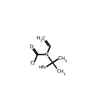 C=CN(C(=O)Cl)C(C)(C)CCC